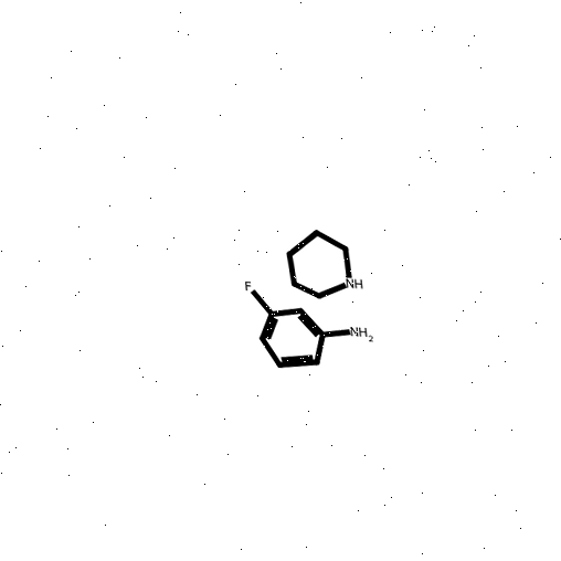 C1CCNCC1.Nc1cccc(F)c1